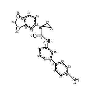 O=C(Nc1cccc(-c2ccc(S)cc2)c1)C1(c2ccc3c(c2)OCO3)CC1